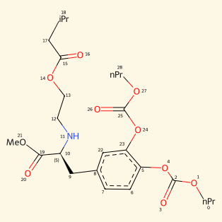 CCCOC(=O)Oc1ccc(C[C@H](NCCOC(=O)CC(C)C)C(=O)OC)cc1OC(=O)OCCC